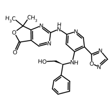 CC1(C)OC(=O)c2cnc(Nc3cc(N[C@H](CO)c4ccccc4)c(-c4ncno4)cn3)nc21